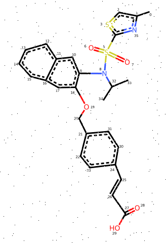 Cc1csc(S(=O)(=O)N(c2cc3ccccc3cc2OCc2ccc(C=CC(=O)O)cc2)C(C)C)n1